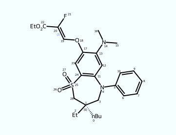 CCCC[C@@]1(CC)CN(c2ccccc2)c2cc(N(C)C)c(O/C=C(\F)C(=O)OCC)cc2S(=O)(=O)C1